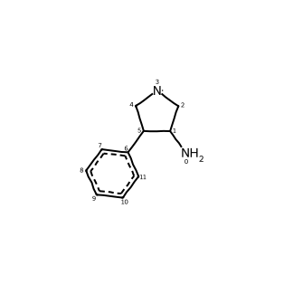 NC1C[N]CC1c1ccccc1